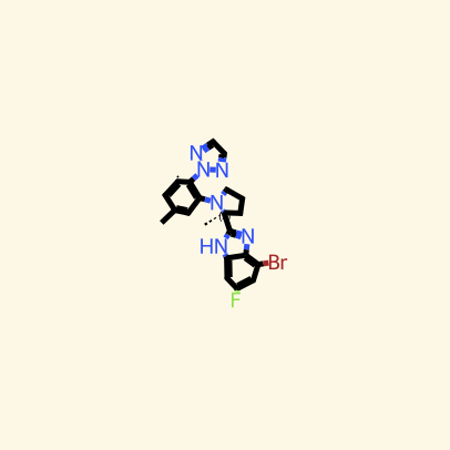 Cc1c[c]c(-n2nccn2)c(N2CCC[C@@]2(C)c2nc3c(Br)cc(F)cc3[nH]2)c1